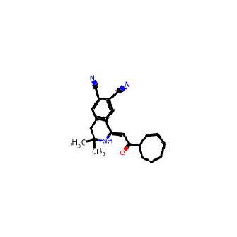 CC1(C)Cc2cc(C#N)c(C#N)cc2C(=CC(=O)C2CCCCCC2)N1